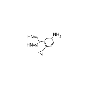 N=CN(N=N)c1cc(N)ccc1C1CC1